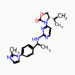 Cc1nccn1-c1ccc(C(C)Nc2nccc(N3C(=O)OC[C@@H]3C(C)C)n2)cc1